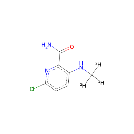 [2H]C([2H])([2H])Nc1ccc(Cl)nc1C(N)=O